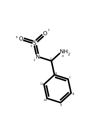 NC(N=S(=O)=O)c1ccccc1